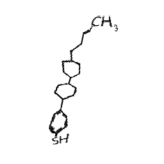 C/C=C/CCC1CCC(C2CCC(c3ccc(S)cc3)CC2)CC1